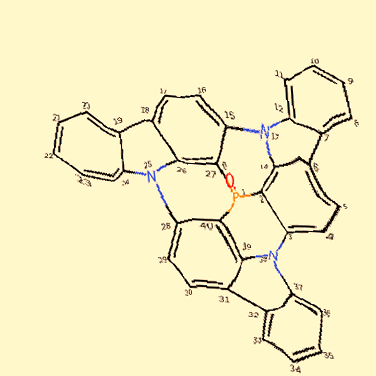 O=P12c3c4ccc5c6ccccc6n(c35)-c3ccc5c6ccccc6n(c5c31)-c1ccc3c5ccccc5n-4c3c12